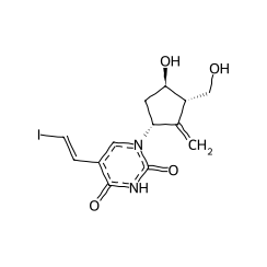 C=C1[C@@H](CO)[C@H](O)C[C@H]1n1cc(/C=C/I)c(=O)[nH]c1=O